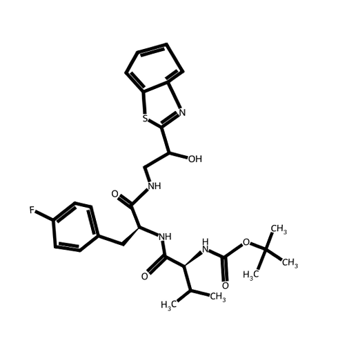 CC(C)[C@H](NC(=O)OC(C)(C)C)C(=O)N[C@@H](Cc1ccc(F)cc1)C(=O)NCC(O)c1nc2ccccc2s1